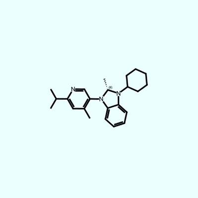 Cc1cc(C(C)C)ncc1N1c2ccccc2N(C2CCCCC2)[C@H]1C